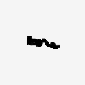 CCOc1cc(-c2ccc(N3CCC(CN4CCCCC(C(=O)CCN5CCC(c6ccc7c(c6)C(=O)N([C@@H]6CCC(=O)NC6=O)C7)CC5)CC4)(NC(=O)c4cc(F)ccc4F)CC3)nc2)c2c(C#N)cnn2c1